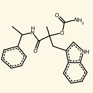 CC(NC(=O)C(C)(Cc1c[nH]c2ccccc12)OC(N)=O)c1ccccc1